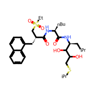 CCCC[C@H](NC(=O)[C@H](Cc1cccc2ccccc12)CS(=O)(=O)CC)C(=O)N[C@@H](CC(C)C)C(O)C(O)CSC(C)C